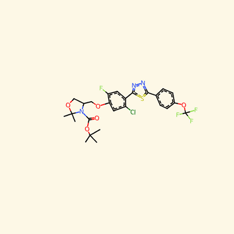 CC(C)(C)OC(=O)N1C(COc2cc(Cl)c(-c3nnc(-c4ccc(OC(F)(F)F)cc4)s3)cc2F)COC1(C)C